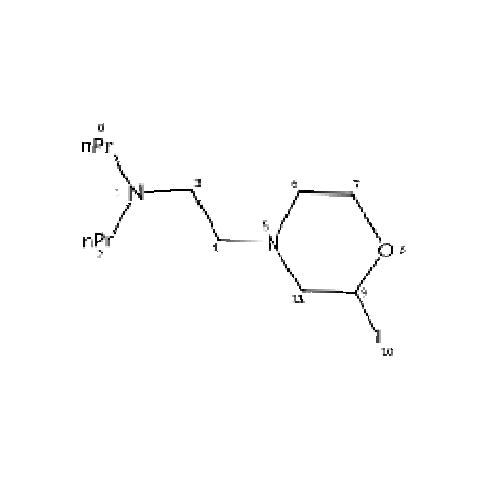 CCCN(CCC)CCN1CCOC(I)C1